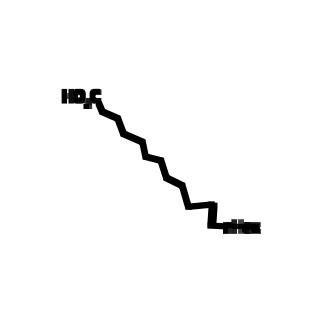 CCCCCC/C=C/CCCCCCCCCC(=O)O